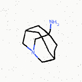 NC12[CH]N3CC(CC(C3)C1)C2